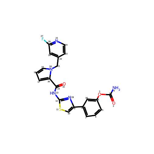 NC(=O)Oc1cccc(-c2csc(NC(=O)c3cccn3Cc3ccnc(F)c3)n2)c1